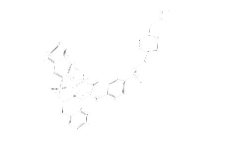 CN(C)CC1CCC(CN=C(N)c2ccc(C[C@@H](NC(=O)[C@@H](Cc3ccccc3)NS(=O)(=O)c3ccc4ccccc4c3)C(=O)N3CCCC3)cc2)CC1